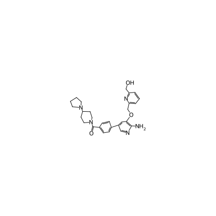 Nc1ncc(-c2ccc(C(=O)N3CCC(N4CCCC4)CC3)cc2)cc1OCc1cccc(CO)n1